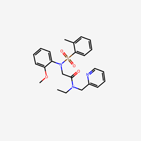 CCN(Cc1ccccn1)C(=O)CN(c1ccccc1OC)S(=O)(=O)c1ccccc1C